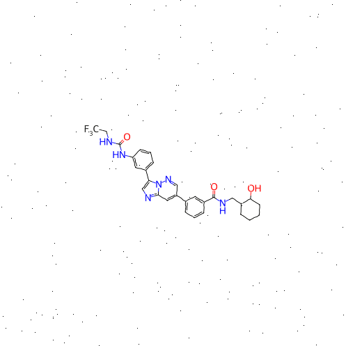 O=C(NCC(F)(F)F)Nc1cccc(-c2cnc3cc(-c4cccc(C(=O)NCC5CCCCC5O)c4)cnn23)c1